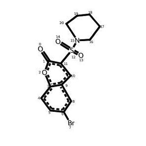 O=c1oc2ccc(Br)cc2cc1S(=O)(=O)N1CCCCC1